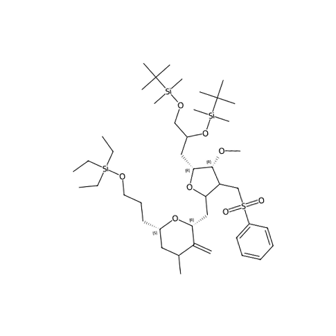 C=C1C(C)C[C@H](CCCO[Si](CC)(CC)CC)O[C@@H]1CC1O[C@H](CC(CO[Si](C)(C)C(C)(C)C)O[Si](C)(C)C(C)(C)C)[C@H](OC)C1CS(=O)(=O)c1ccccc1